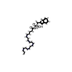 CC/C=C\C/C=C\C/C=C\C/C=C\C/C=C\CCCC(=O)NC(=O)N(O)C(C)c1cc2ccccc2s1